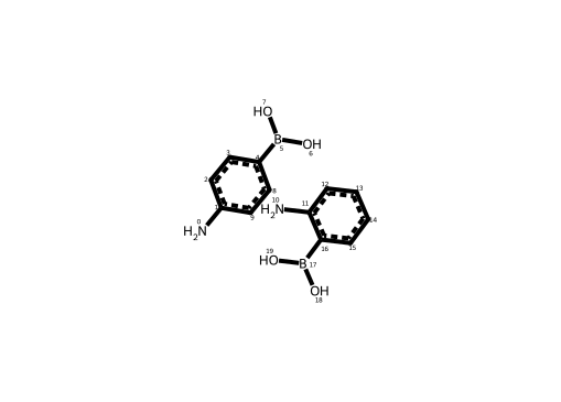 Nc1ccc(B(O)O)cc1.Nc1ccccc1B(O)O